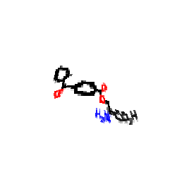 N[C@@H](COC(=O)c1ccc(C(=O)c2ccccc2)cc1)C(=O)O